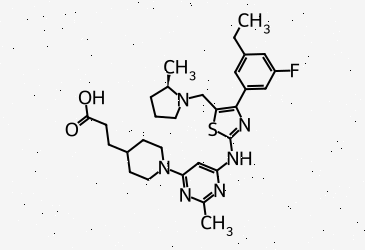 CCc1cc(F)cc(-c2nc(Nc3cc(N4CCC(CCC(=O)O)CC4)nc(C)n3)sc2CN2CCC[C@H]2C)c1